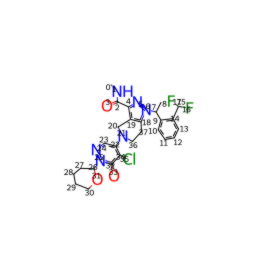 CNC(=O)c1nn(C(C)c2ccccc2C(F)F)c2c1CN(c1cnn(C3CCCCO3)c(=O)c1Cl)CC2